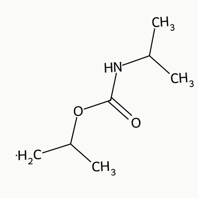 [CH2]C(C)OC(=O)NC(C)C